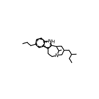 CCCc1ccc2[nH]c3c(c2c1)CCN1CC(CC(C)CC)CC3C1C